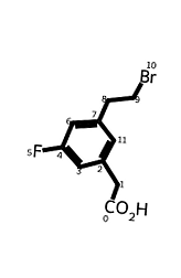 O=C(O)Cc1cc(F)cc(CCBr)c1